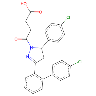 O=C(O)CCC(=O)N1N=C(c2ccccc2-c2ccc(Cl)cc2)CC1c1ccc(Cl)cc1